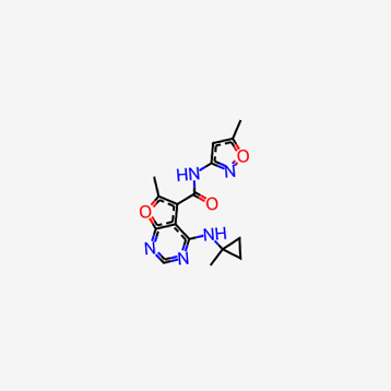 Cc1cc(NC(=O)c2c(C)oc3ncnc(NC4(C)CC4)c23)no1